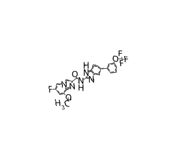 COc1cc(F)cn2cc(C(=O)Nc3nc4cc(-c5cccc(OC(F)(F)F)c5)ccc4[nH]3)nc12